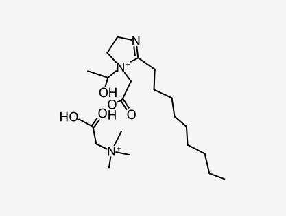 CCCCCCCCCC1=NCC[N+]1(CC(=O)O)C(C)O.C[N+](C)(C)CC(=O)O